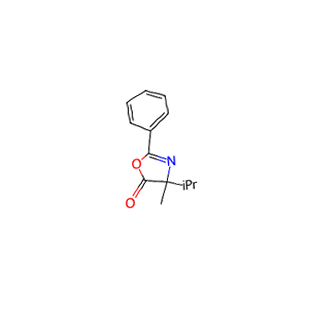 CC(C)C1(C)N=C(c2ccccc2)OC1=O